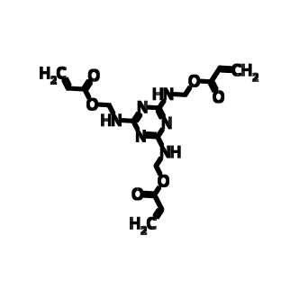 C=CC(=O)OCNc1nc(NCOC(=O)C=C)nc(NCOC(=O)C=C)n1